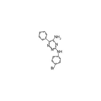 Nc1nc(Nc2ccc(Br)cc2)nnc1-c1ccccc1